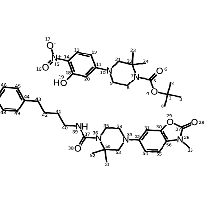 CC(C)(C)OC(=O)N1CCN(c2ccc([N+](=O)[O-])c(O)c2)CC1(C)C.Cn1c(=O)oc2cc(N3CCN(C(=O)NCCCCc4ccccc4)C(C)(C)C3)ccc21